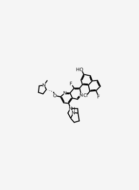 CN1CCC[C@H]1COc1cc(N2CC3CCC(C2)N3)c2cnc(-c3cc(O)cc4ccc(F)c(Cl)c34)c(F)c2n1